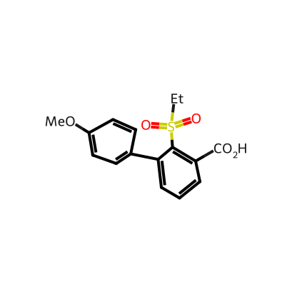 CCS(=O)(=O)c1c(C(=O)O)cccc1-c1ccc(OC)cc1